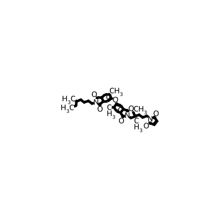 CCC(C)CCCCN1C(=O)C2C3=C(OC4=C5OC(C4C)C4C(=O)N(CC(C)(CC)CCCN6C(=O)C=CC6=O)C(=O)C54)C(C)C(O3)C2C1=O